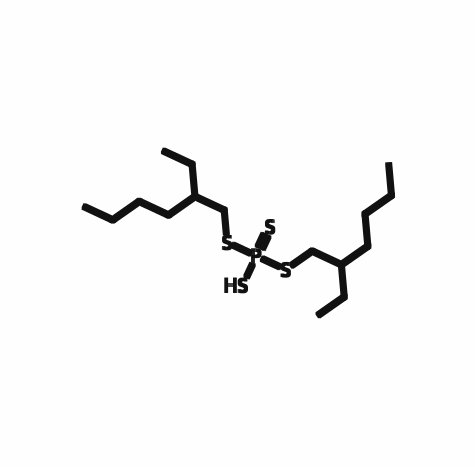 CCCCC(CC)CSP(=S)(S)SCC(CC)CCCC